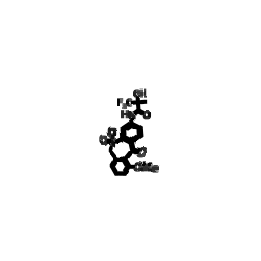 COc1cccc2c1C(=O)c1ccc(NC(=O)C(C)(O)C(F)(F)F)cc1S(=O)(=O)C2